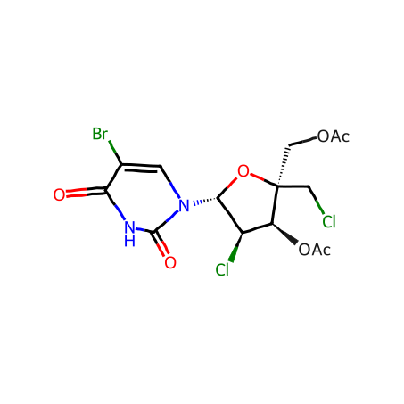 CC(=O)OC[C@@]1(CCl)O[C@@H](n2cc(Br)c(=O)[nH]c2=O)[C@H](Cl)[C@@H]1OC(C)=O